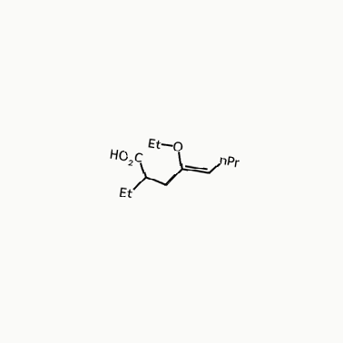 CCCC=C(CC(CC)C(=O)O)OCC